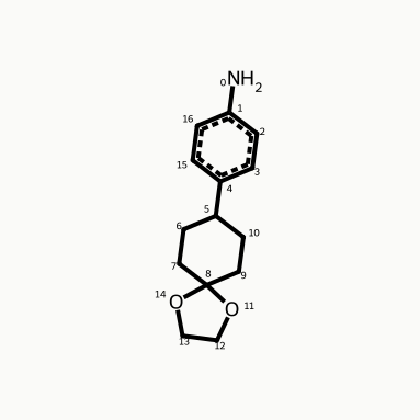 Nc1ccc(C2CCC3(CC2)OCCO3)cc1